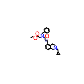 CCOC(=O)CN(Cc1ccccc1)C(=O)/C=C/c1cccc2c1CCN(CC1CC1)C2